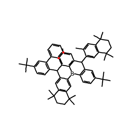 Cc1cc2c3c(c1)C(c1ccc(C(C)(C)C)cc1-c1ccccc1)c1cc4c(cc1B3c1ccc(C(C)(C)C)cc1C2c1cc2c(cc1C)C(C)(C)CCC2(C)C)C(C)(C)CCC4(C)C